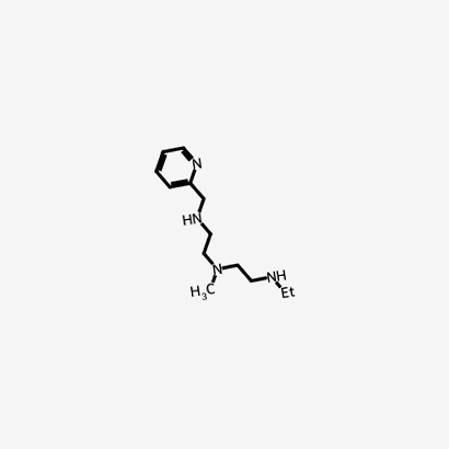 CCNCCN(C)CCNCc1ccccn1